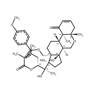 COc1ccc(C(=O)OC[C@]23CC[C@H]4[C@@H](CO[C@@]5(C)CC=CC(=O)[C@]45C)[C@]2(O)CC[C@@]3(O)[C@@](C)(O)[C@H]2CC(C)=C(C)C(=O)O2)cc1